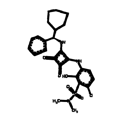 CN(C)S(=O)(=O)c1c(Cl)ccc(Nc2c(N[C@@H](c3ccccc3)C3CCCCC3)c(=O)c2=O)c1O